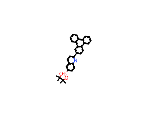 CC1(C)OB(c2ccc3nc(-c4ccc5c6ccccc6c6ccccc6c5c4)ccc3c2)OC1(C)C